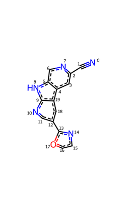 N#Cc1cc2c(cn1)[nH]c1ncc(-c3ncco3)cc12